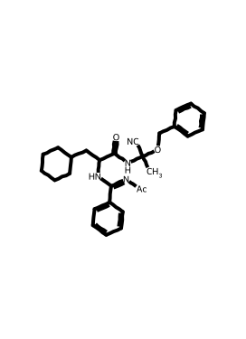 CC(=O)N=C(NC(CC1CCCCC1)C(=O)NC(C)(C#N)OCc1ccccc1)c1ccccc1